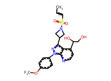 C/C=C/S(=O)(=O)N1CC(c2nn(-c3ccc(OC(F)(F)F)cc3)c3nccc(C(O)CO)c23)C1